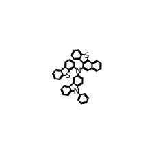 c1ccc(-n2c3ccccc3c3cc(N(c4cccc5c4sc4ccccc45)c4cc5ccccc5c5sc6ccccc6c45)ccc32)cc1